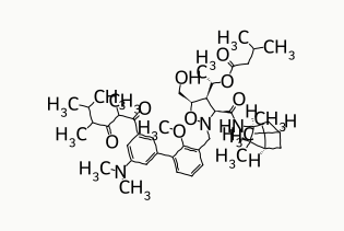 COc1c(CN2O[C@@H](CO)[C@@H]([C@H](C)OC(=O)CC(C)C)[C@H]2C(=O)N[C@H]2C[C@H]3C[C@@H]([C@@H]2C)C3(C)C)cccc1-c1cc(C(=O)C(C)C(=O)C(C)C(C)C)cc(N(C)C)c1